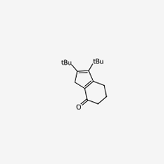 CC(C)(C)C1=C(C(C)(C)C)C2=C(C1)C(=O)CCC2